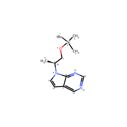 C[C@@H](CO[Si](C)(C)C(C)(C)C)n1ccc2cncnc21